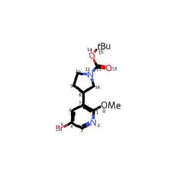 COc1ncc(Br)cc1C1CCN(C(=O)OC(C)(C)C)C1